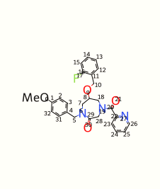 COc1ccc(CN2CC(OCc3ccccc3F)CN(C(=O)c3ccccn3)CC2=O)cc1